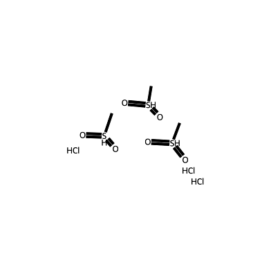 C[SH](=O)=O.C[SH](=O)=O.C[SH](=O)=O.Cl.Cl.Cl